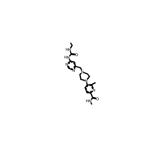 CCNC(=O)Nc1cc(CN2CCN(c3ccc(C(=O)NC)nc3C)CC2)ncn1